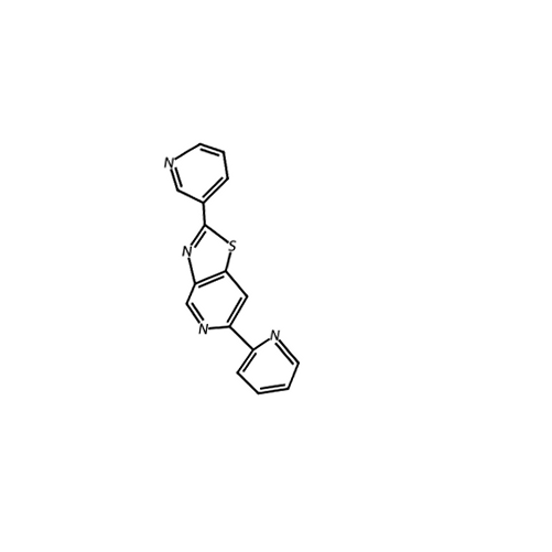 c1ccc(-c2cc3sc(-c4cccnc4)nc3cn2)nc1